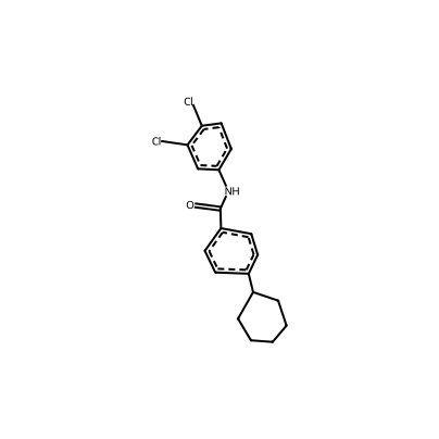 O=C(Nc1ccc(Cl)c(Cl)c1)c1ccc(C2CCCCC2)cc1